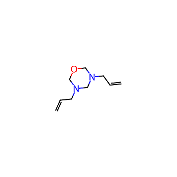 C=CCN1COCN(CC=C)C1